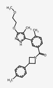 COCCOc1n[nH]c(-c2cc(C(=O)N3CC(c4ccc(C)cc4)C3)ccc2C)c1C